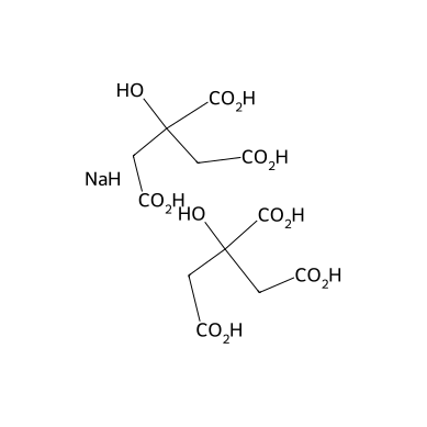 O=C(O)CC(O)(CC(=O)O)C(=O)O.O=C(O)CC(O)(CC(=O)O)C(=O)O.[NaH]